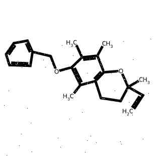 C=CC1(C)CCc2c(C)c(OCc3ccccc3)c(C)c(C)c2O1